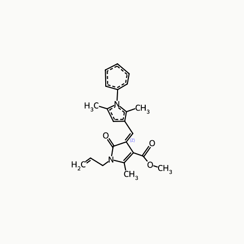 C=CCN1C(=O)/C(=C\c2cc(C)n(-c3ccccc3)c2C)C(C(=O)OC)=C1C